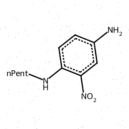 CCCCCNc1ccc(N)cc1[N+](=O)[O-]